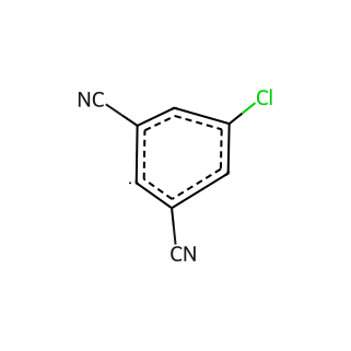 N#Cc1[c]c(C#N)cc(Cl)c1